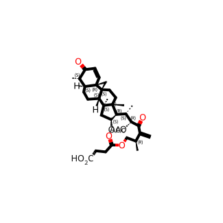 C=C(C(=O)[C@H](OC(C)=O)[C@@H](C)[C@H]1[C@@H](OC(C)=O)C[C@@]2(C)[C@@H]3CC[C@H]4[C@H](C)C(=O)C=C[C@@]45C[C@@]35CC[C@]12C)[C@@H](C)COC(=O)CCC(=O)O